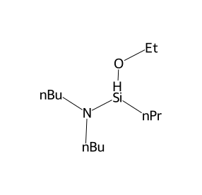 CCCCN(CCCC)[SiH](CCC)OCC